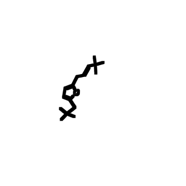 CC(C)(C)/C=C/Cc1ccc(CC(C)(C)C)o1